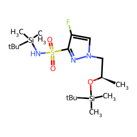 C[C@H](Cn1cc(F)c(S(=O)(=O)N[Si](C)(C)C(C)(C)C)n1)O[Si](C)(C)C(C)(C)C